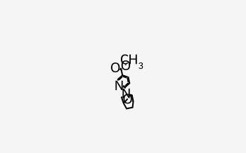 COC(=O)c1ccc(N2CC3CCC(C2)O3)nc1